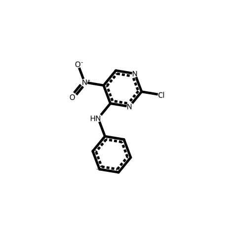 O=[N+]([O-])c1cnc(Cl)nc1Nc1c[c]ccc1